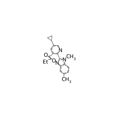 CCS(=O)(=O)c1cc(C2CC2)cnc1-c1nc2cc(C)ccc2n1C